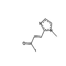 Cn1ccnc1/C=C/C(=O)I